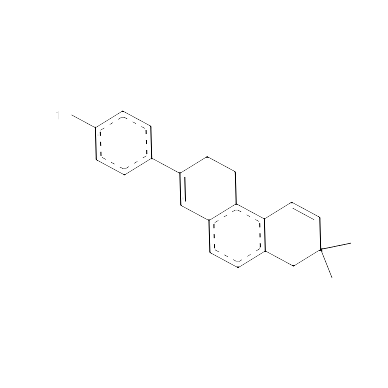 CCCCCCCc1ccc(C2=Cc3ccc4c(c3CC2)C=CC(C)(C)C4)cc1